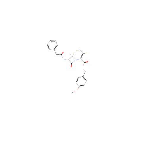 COc1ccc(COC(=O)C2=C(S)CS[C@H]3[C@H](NC(=O)Cc4ccccc4)C(=O)N23)cc1